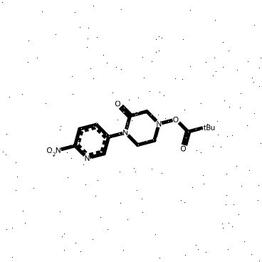 CC(C)(C)C(=O)ON1CCN(c2ccc([N+](=O)[O-])nc2)C(=O)C1